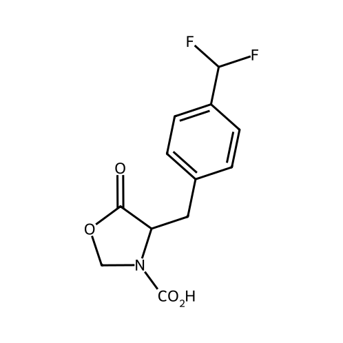 O=C1OCN(C(=O)O)C1Cc1ccc(C(F)F)cc1